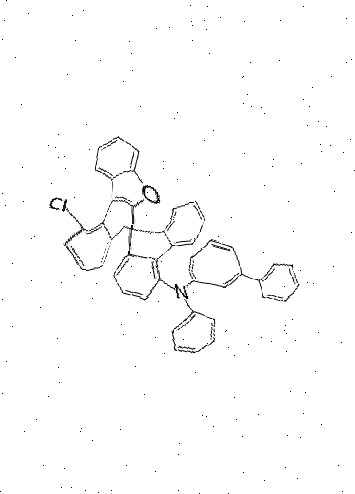 Clc1cccc2c1-c1c(oc3ccccc13)C21c2ccccc2-c2c(N(c3ccccc3)c3cccc(-c4ccccc4)c3)cccc21